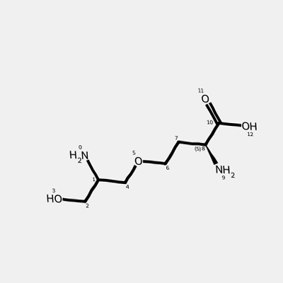 NC(CO)COCC[C@H](N)C(=O)O